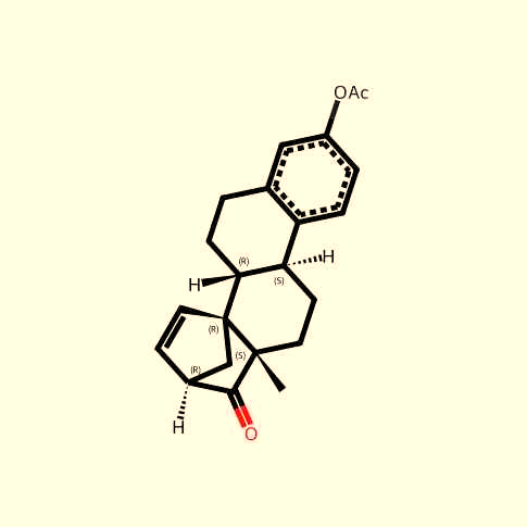 CC(=O)Oc1ccc2c(c1)CC[C@@H]1[C@@H]2CC[C@]2(C)C(=O)[C@H]3C=C[C@@]12C3